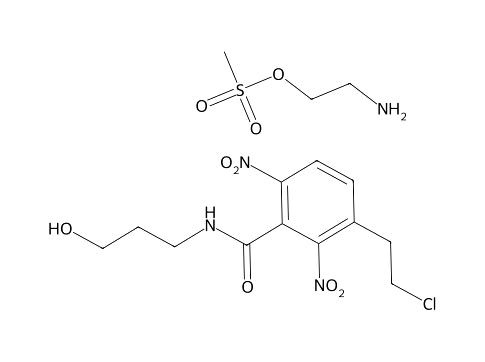 CS(=O)(=O)OCCN.O=C(NCCCO)c1c([N+](=O)[O-])ccc(CCCl)c1[N+](=O)[O-]